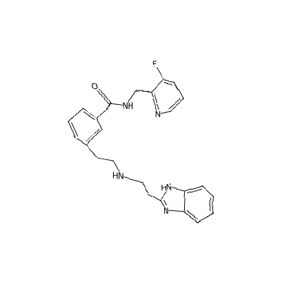 O=C(NCc1ncccc1F)c1cccc(CCNCCc2nc3ccccc3[nH]2)c1